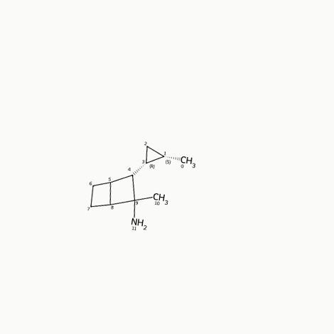 C[C@H]1C[C@H]1C1C2CCC2C1(C)N